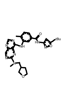 Cc1ccc(C(=O)Nc2cc(C(C)(C)C)on2)cc1Nc1ncnc2cnc(N(C)CC3CCOC3)nc12